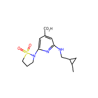 CC1CC1CNc1cc(C(=O)O)cc(N2CCCS2(=O)=O)n1